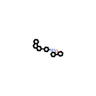 c1ccc2c(c1)ccc1ccc(-c3ccc(Nc4cccc5c4oc4ccccc45)cc3)cc12